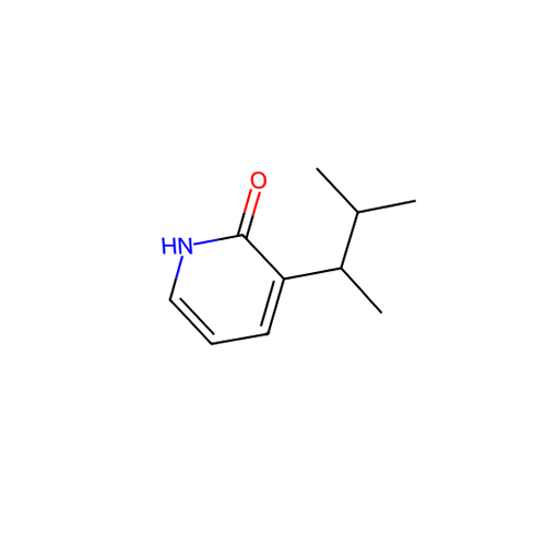 CC(C)C(C)c1ccc[nH]c1=O